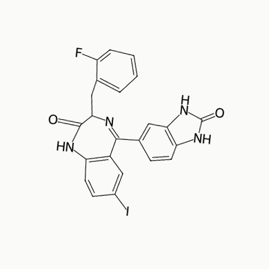 O=C1Nc2ccc(I)cc2C(c2ccc3[nH]c(=O)[nH]c3c2)=NC1Cc1ccccc1F